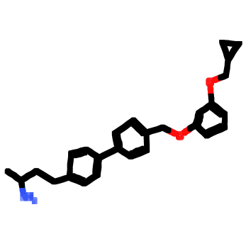 CC(N)CCc1ccc(-c2ccc(COc3cccc(OCC4CC4)c3)cc2)cc1